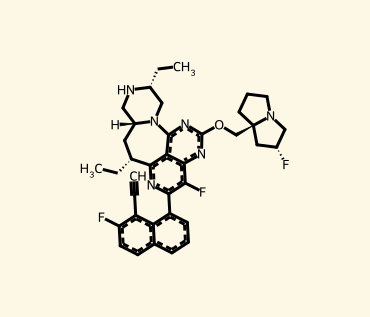 C#Cc1c(F)ccc2cccc(-c3nc4c5c(nc(OC[C@@]67CCCN6C[C@H](F)C7)nc5c3F)N3C[C@@H](CC)NC[C@H]3C[C@H]4CC)c12